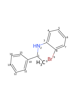 CC(Nc1ccccc1Br)c1ccccc1